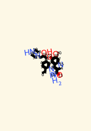 CCc1ccccc1Nc1c(C(N)=O)cnc2cc(OC)c(OCC(O)CN3CCNCC3)cc12